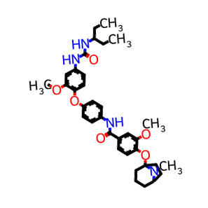 CCC(CC)NC(=O)Nc1ccc(Oc2ccc(NC(=O)c3ccc(OC45CCCC(CC4)N5C)c(OC)c3)cc2)c(OC)c1